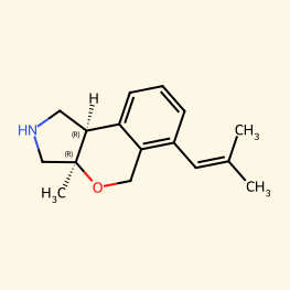 CC(C)=Cc1cccc2c1CO[C@@]1(C)CNC[C@@H]21